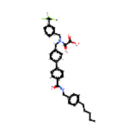 CCCCCc1ccc(CNC(=O)c2ccc(-c3ccc(CN(Cc4cccc(C(F)(F)F)c4)C(=O)C(=O)O)cc3)cc2)cc1